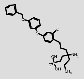 CCCC(N)(CCCc1ccc(Sc2cccc(OCc3ccccc3)c2)cc1Cl)CCP(=O)(O)O